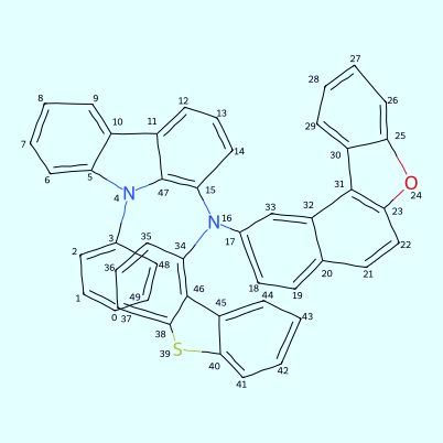 c1ccc(-n2c3ccccc3c3cccc(N(c4ccc5ccc6oc7ccccc7c6c5c4)c4cccc5sc6ccccc6c45)c32)cc1